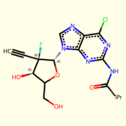 C#C[C@@]1(F)[C@H](O)C(CO)O[C@H]1n1cnc2c(Cl)nc(NC(=O)C(C)C)nc21